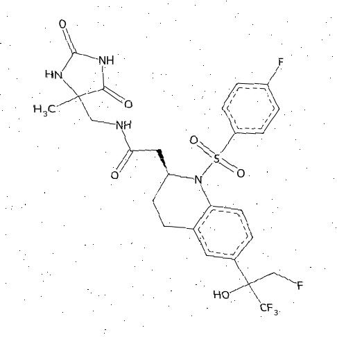 CC1(CNC(=O)C[C@@H]2CCc3cc(C(O)(CF)C(F)(F)F)ccc3N2S(=O)(=O)c2ccc(F)cc2)NC(=O)NC1=O